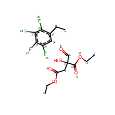 CCOC(=O)CC(O)(C=O)C(=O)OCC.CCc1cc(F)c(F)c(F)c1F